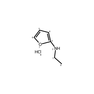 CCNc1ccco1.Cl